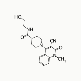 Cn1c(=O)c(C#N)c(N2CCC(C(=O)NCCO)CC2)c2ccccc21